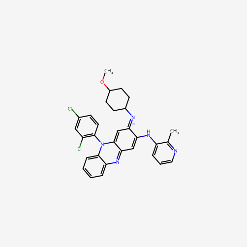 COC1CCC(/N=c2\cc3n(-c4ccc(Cl)cc4Cl)c4ccccc4nc-3cc2Nc2cccnc2C)CC1